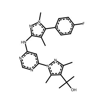 Cc1nn(-c2cc(Nc3nn(C)c(-c4ccc(F)cc4)c3C)ncn2)c(C)c1C(C)(C)O